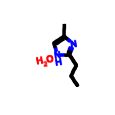 CCCc1nc(C)c[nH]1.O